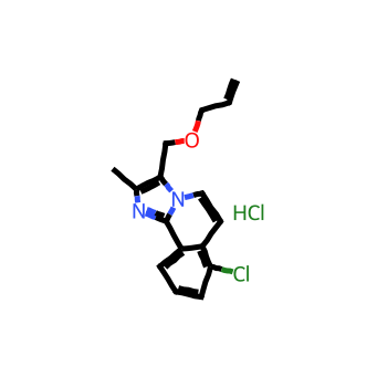 C=CCOCc1c(C)nc2c3cccc(Cl)c3ccn12.Cl